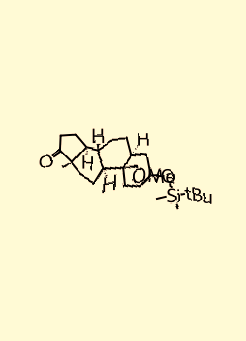 COC[C@]12CCC(O[Si](C)(C)C(C)(C)C)C[C@@H]1CC[C@@H]1[C@@H]2CC[C@]2(C)C(=O)CC[C@@H]12